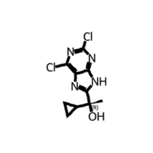 C[C@](O)(c1nc2c(Cl)nc(Cl)nc2[nH]1)C1CC1